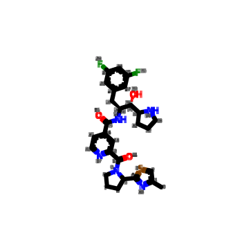 Cc1csc(C2CCCN2C(=O)c2cc(C(=O)N[C@@H](Cc3cc(F)cc(F)c3)[C@H](O)C3CCCN3)ccn2)n1